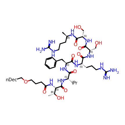 CCCCCCCCCCCOCCCC(=O)N[C@H](C(=O)N[C@H](C(=O)N[C@@H](Cc1ccccc1)C(=O)N[C@@H](CCCNC(=N)N)C(=O)N[C@@H](CO)C(=O)N[C@@H](CO)C(=O)N[C@H](C)CCCNC(=N)N)C(C)C)[C@@H](C)O